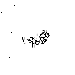 CP(C)c1ccccc1-c1ccc(N2CCC(NC(=O)OC(C)(C)C)C2=O)c(C(F)(F)F)c1F